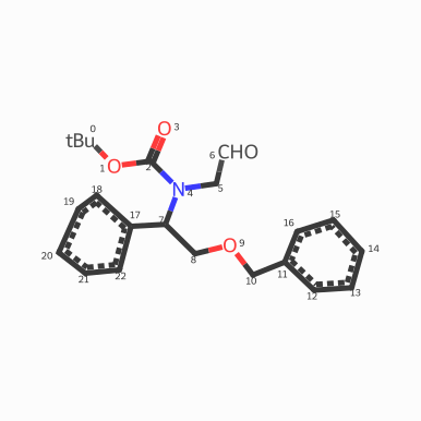 CC(C)(C)OC(=O)N(CC=O)C(COCc1ccccc1)c1ccccc1